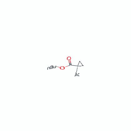 CCCCOC(=O)C1(C(C)=O)CC1